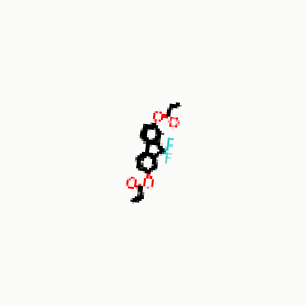 C=CC(=O)Oc1ccc2c(c1)C(F)(F)c1cc(OC(=O)C=C)ccc1-2